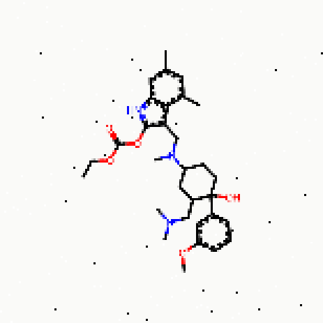 CCOC(=O)Oc1[nH]c2cc(C)cc(C)c2c1CN(C)C1CCC(O)(c2cccc(OC)c2)C(CN(C)C)C1